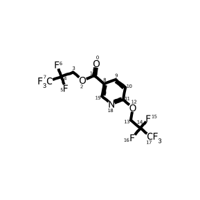 O=C(OCC(F)(F)C(F)(F)F)c1ccc(OCC(F)(F)C(F)(F)F)nc1